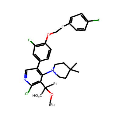 CCC(OC(C)(C)C)(C(=O)O)c1c(Cl)ncc(-c2ccc(OCCc3ccc(F)cc3)c(F)c2)c1N1CCC(C)(C)CC1